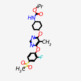 Cc1c(Oc2ccc(S(C)(=O)=O)cc2F)ncnc1O[C@H]1CC[C@@H](NC(=O)OC(C)C)CC1